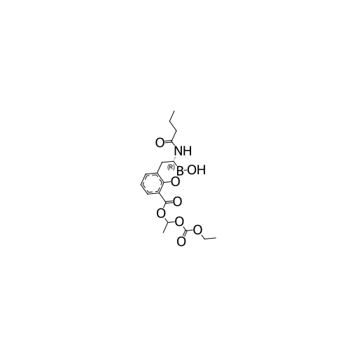 CCCC(=O)N[C@H]1Cc2cccc(C(=O)OC(C)OC(=O)OCC)c2OB1O